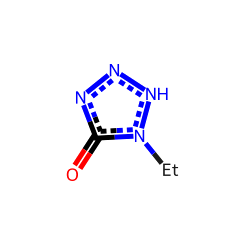 [CH2]Cn1[nH]nnc1=O